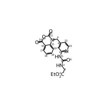 CCOC(=O)CNC(=O)Nc1cc(Cn2c(=O)oc(=O)c3ccccc32)ccn1